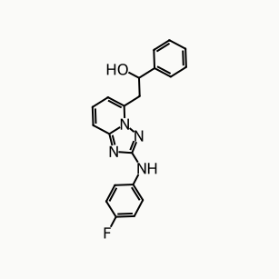 OC(Cc1cccc2nc(Nc3ccc(F)cc3)nn12)c1ccccc1